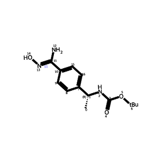 C[C@@H](NC(=O)OC(C)(C)C)c1ccc(/C(N)=N/O)cc1